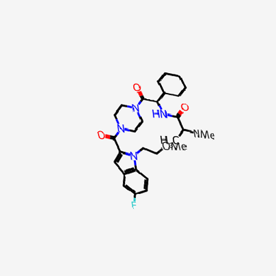 CNC(C)C(=O)NC(C(=O)N1CCN(C(=O)c2cc3cc(F)ccc3n2CCOC)CC1)C1CCCCC1